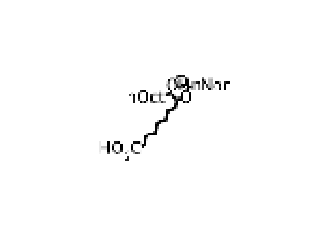 CCCCCCCCCC(=O)OC(CCCCCCCC(=O)O)C(O)CCCCCCCC